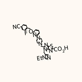 CCn1cncc1Cn1c(CN2CCN(c3cccc(OCc4ccc(C#N)cc4F)n3)CC2)nc2sc(C(=O)O)nc21